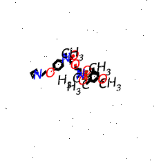 COc1cc(C)c(S(=O)(=O)N(C)CCOCC(=O)N(C)[C@H]2CC[C@@H](OCCN3CCC3)CC2)c(C)c1